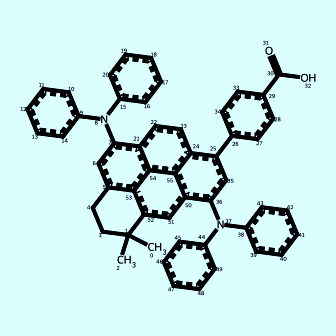 CC1(C)CCc2cc(N(c3ccccc3)c3ccccc3)c3ccc4c(-c5ccc(C(=O)O)cc5)cc(N(c5ccccc5)c5ccccc5)c5cc1c2c3c45